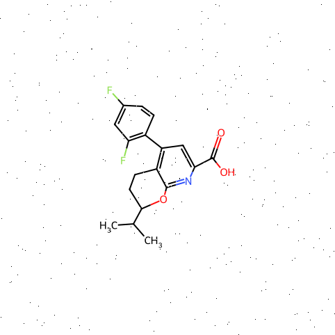 CC(C)C1CCc2c(-c3ccc(F)cc3F)cc(C(=O)O)nc2O1